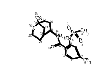 CS(=O)(=O)Nc1cc(C(F)(F)F)ccc1C(=O)NC1CCC2(C#N)CCCC1C2